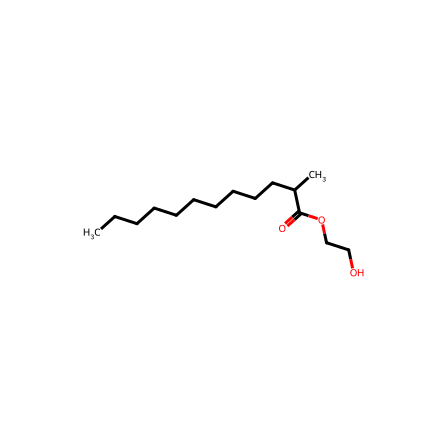 CCCCCCCCCCC(C)C(=O)OCCO